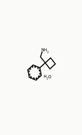 NCC1(c2ccccc2)CCC1.O